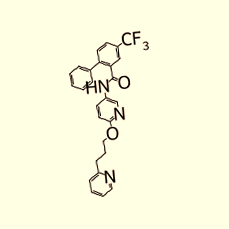 O=C(Nc1ccc(OCCCc2ccccn2)nc1)c1cc(C(F)(F)F)ccc1-c1ccccc1